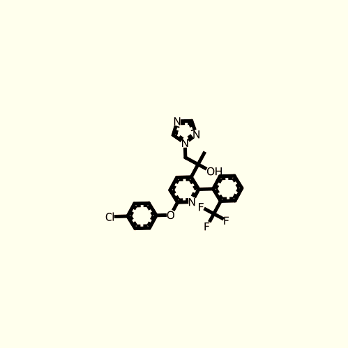 CC(O)(Cn1cncn1)c1ccc(Oc2ccc(Cl)cc2)nc1-c1ccccc1C(F)(F)F